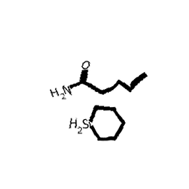 C1CC[SiH2]CC1.C=CCCC(N)=O